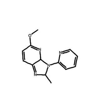 COC1=NC2C(=NC(C)N2c2ccccn2)C=C1